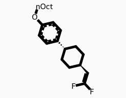 CCCCCCCCOc1ccc([C@H]2CC[C@H](C=C(F)F)CC2)cc1